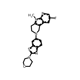 Cn1c2c(c3cc(F)cnc31)CN(c1ccc3nc(N4CCOCC4)sc3c1)CC2